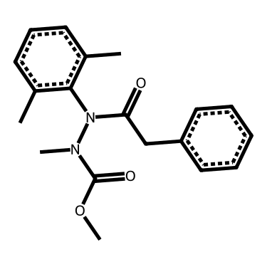 COC(=O)N(C)N(C(=O)Cc1ccccc1)c1c(C)cccc1C